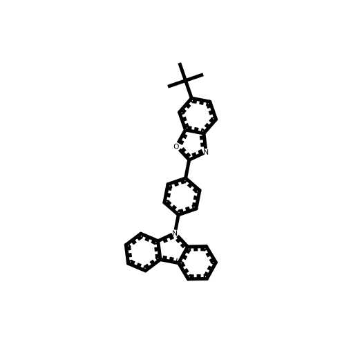 CC(C)(C)c1ccc2nc(-c3ccc(-n4c5ccccc5c5ccccc54)cc3)oc2c1